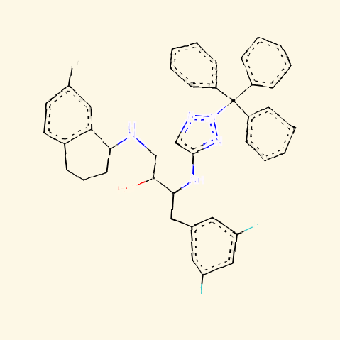 CCc1ccc2c(c1)C(NCC(O)C(Cc1cc(F)cc(F)c1)Nc1cnn(C(c3ccccc3)(c3ccccc3)c3ccccc3)n1)CCC2